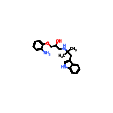 CC(C)(Cc1c[nH]c2ccccc12)NCC(O)COc1ccccc1N